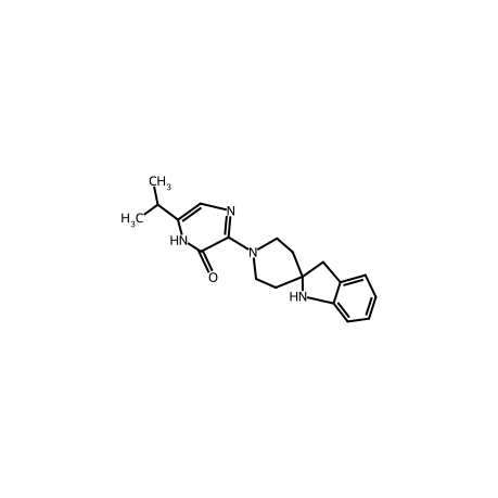 CC(C)c1cnc(N2CCC3(CC2)Cc2ccccc2N3)c(=O)[nH]1